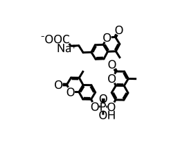 Cc1cc(=O)oc2cc(CCCC(=O)[O-])ccc12.Cc1cc(=O)oc2cc(OP(=O)(O)Oc3ccc4c(C)cc(=O)oc4c3)ccc12.[Na+]